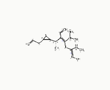 C=C/C(=C(/C/C(=N/O)NC)N(C)N)[C@H](C)C1CC1CC=O